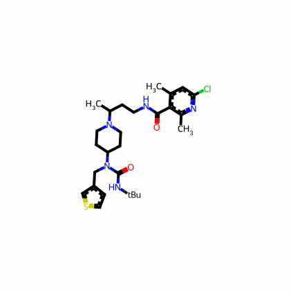 Cc1cc(Cl)nc(C)c1C(=O)NCCC(C)N1CCC(N(Cc2ccsc2)C(=O)NC(C)(C)C)CC1